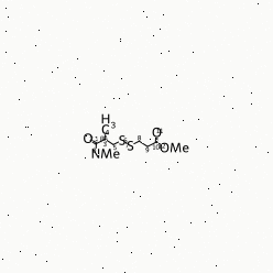 CNC(=O)[C@@H](C)CSSCCC(=O)OC